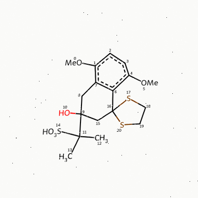 COc1ccc(OC)c2c1CC(O)(C(C)(C)S(=O)(=O)O)CC21SCCS1